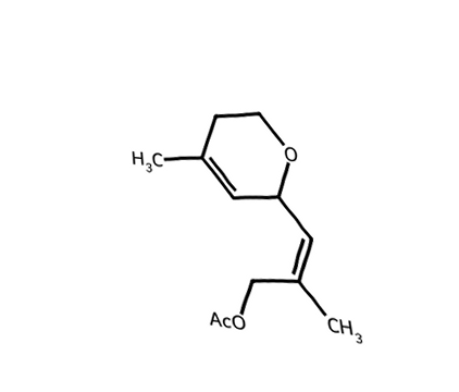 CC(=O)OCC(C)=CC1C=C(C)CCO1